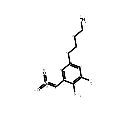 CCCCCc1cc(O)c(N)c(C=S(=O)=O)c1